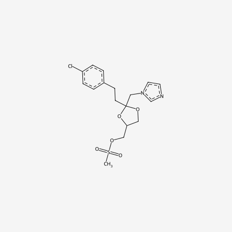 CS(=O)(=O)OCC1COC(CCc2ccc(Cl)cc2)(Cn2ccnc2)O1